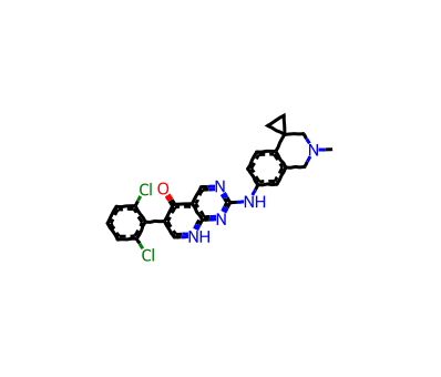 CN1Cc2cc(Nc3ncc4c(=O)c(-c5c(Cl)cccc5Cl)c[nH]c4n3)ccc2C2(CC2)C1